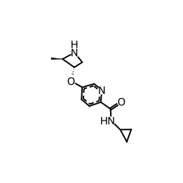 C[C@H]1NC[C@@H]1Oc1ccc(C(=O)NC2CC2)nc1